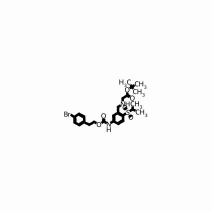 CC(C)S(=O)(=O)c1ccc(NC(=O)OCCc2ccc(Br)cc2)cc1CNCC(=O)OC(C)(C)C